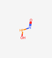 O=NPO